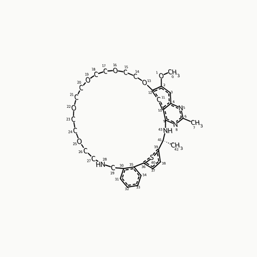 COc1cc2nc(C)nc3c2cc1OCCOCCOCCOCCOCCNCc1ccccc1-c1ccc(s1)[C@@H](C)N3